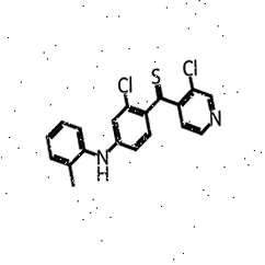 Cc1ccccc1Nc1ccc(C(=S)c2ccncc2Cl)c(Cl)c1